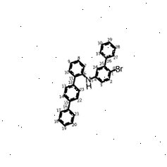 Brc1ccc(Nc2ccccc2-c2ccc(-c3ccccc3)cc2)cc1-c1ccccc1